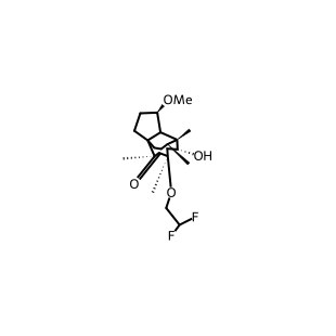 CO[C@@H]1CCC23CC[C@@H](C)[C@](C)(C12)[C@H](O)C[C@@](C)(OCC(F)F)C(=O)[C@@H]3C